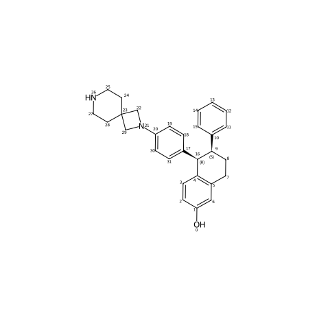 Oc1ccc2c(c1)CC[C@H](c1ccccc1)[C@@H]2c1ccc(N2CC3(CCNCC3)C2)cc1